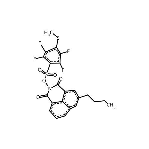 CCCCc1cc2c3c(cccc3c1)C(=O)N(OS(=O)(=O)c1c(F)c(F)c(SC)c(F)c1F)C2=O